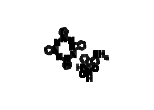 O=C1NC(=O)C(c2ccccc2)(c2ccccc2)N1.[SiH4].c1ccc2c(c1)-c1nc-2nc2[nH]c(nc3nc(nc4[nH]c(n1)c1ccccc41)-c1ccccc1-3)c1ccccc21